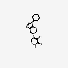 O=c1[nH]ncc(N2CCc3c(ncn3C3CCCCC3)C2)c1Cl